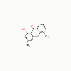 Cc1cc(O)c2c(c1)Cc1c(C)cccc1C2=O